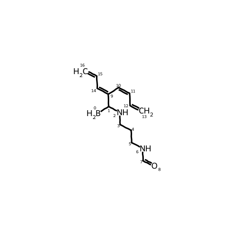 BC(NCCCNC=O)C(/C=C\C=C)=C/C=C